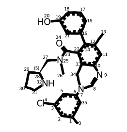 Cc1cc(Cl)cc(N2C=Nc3cc(C)c(-c4cccc(O)c4)c(C(=O)N(C)C[C@@H]4CCCN4)c3C2)c1